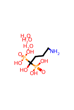 NCCCC(O)(P(=O)(O)O)P(=O)(O)O.O.O.O